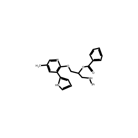 Cc1cnc(OCC(CNC(C)C)OC(=O)c2ccccc2)c(-c2ccc[nH]2)c1